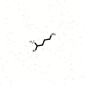 [CH2]C(CCCCCCC)C(C)C